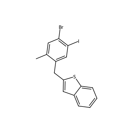 Cc1cc(Br)c(I)cc1Cc1cc2ccccc2s1